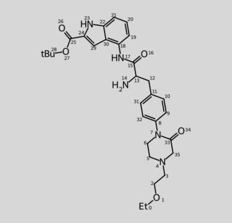 CCOCCN1CCN(c2ccc(CC(N)C(=O)Nc3cccc4[nH]c(C(=O)OC(C)(C)C)cc34)cc2)C(=O)C1